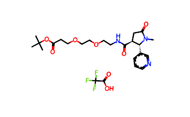 CN1C(=O)C[C@H](C(=O)NCCOCCOCCC(=O)OC(C)(C)C)[C@H]1c1cccnc1.O=C(O)C(F)(F)F